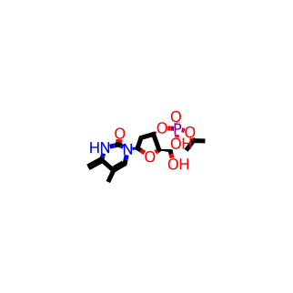 C=C1NC(=O)N([C@H]2C[C@H](OP(=O)(O)OC(C)C)[C@@H](CO)O2)C=C1C